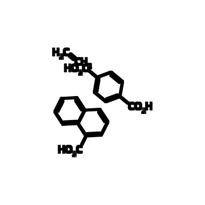 C=C.O=C(O)c1ccc(C(=O)O)cc1.O=C(O)c1cccc2ccccc12